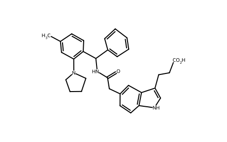 Cc1ccc(C(NC(=O)Cc2ccc3[nH]cc(CCC(=O)O)c3c2)c2ccccc2)c(N2CCCC2)c1